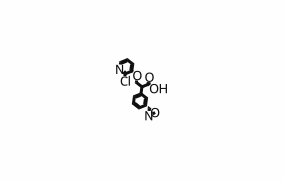 C1=NO1.O=C(O)C(COc1cccnc1Cl)c1ccccc1